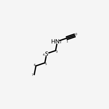 C#CNCSCCC